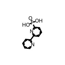 O=P(O)(O)c1cccc(-c2ccccn2)n1